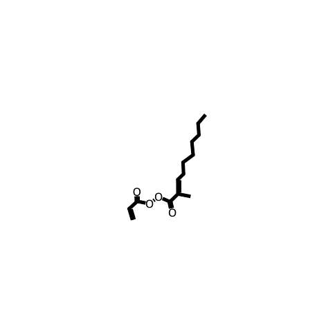 C=CC(=O)OOC(=O)C(C)=CCCCCCCC